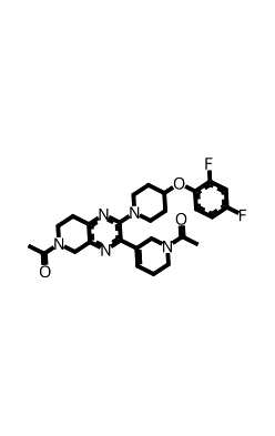 CC(=O)N1CCC=C(c2nc3c(nc2N2CCC(Oc4ccc(F)cc4F)CC2)CCN(C(C)=O)C3)C1